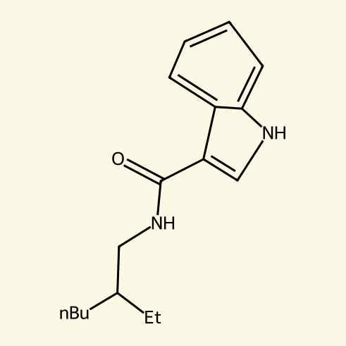 CCCCC(CC)CNC(=O)c1c[nH]c2ccccc12